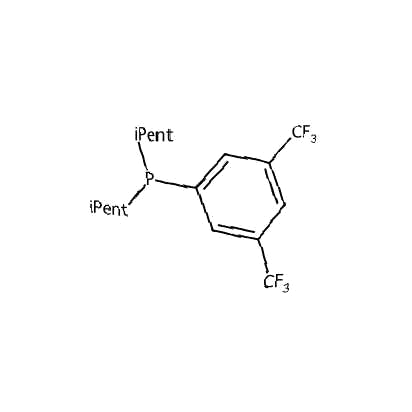 CCCC(C)P(c1cc(C(F)(F)F)cc(C(F)(F)F)c1)C(C)CCC